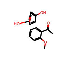 COc1ccccc1C(C)=O.Oc1cc2c(O)cc1CO2